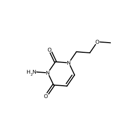 COCCn1ccc(=O)n(N)c1=O